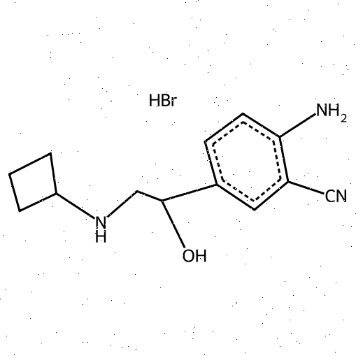 Br.N#Cc1cc(C(O)CNC2CCC2)ccc1N